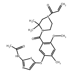 C=CC(=O)N1CCN(C(=O)c2cc(Sc3cnc(NC(C)=O)s3)c(C)cc2OC)C(C)(C)C1